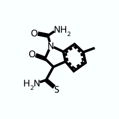 Cc1ccc2c(c1)N(C(N)=O)C(=O)C2C(N)=S